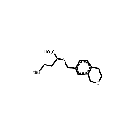 CC(C)(C)CCC(NCc1ccc2c(c1)COCC2)C(=O)O